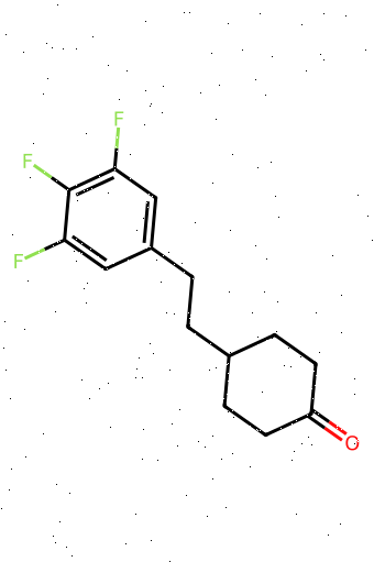 O=C1CCC(CCc2cc(F)c(F)c(F)c2)CC1